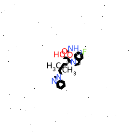 CC(C)(CC[C@H](C(CO)OC(N)=O)N1CCc2cc(F)ccc21)CCn1cnc2ccccc21